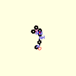 O=c1ccccn1Cc1ccc(CNc2cnnc(N=P(c3ccccc3)(c3ccccc3)c3ccccc3)c2)cc1